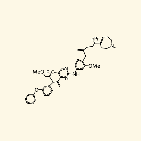 C=C(CCC(CCC)C1=CCCN(C)CC1)Cc1ccc(Nc2ncc(C(F)(F)F)c(C(=C)C(CCOC)c3cccc(Oc4ccccc4)c3)n2)cc1OC